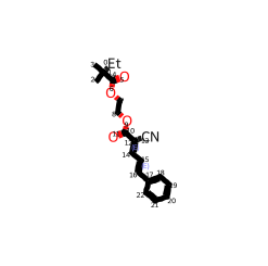 CCC(C)(C)C(=O)OCCOC(=O)/C(C#N)=C/C=C/c1ccccc1